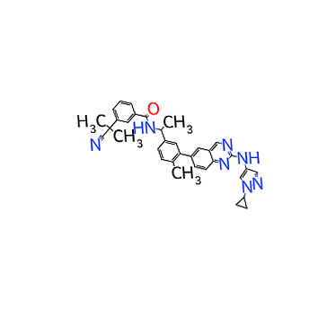 Cc1ccc(C(C)NC(=O)c2cccc(C(C)(C)C#N)c2)cc1-c1ccc2nc(Nc3cnn(C4CC4)c3)ncc2c1